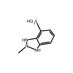 CN1Nc2cccc(S(=O)(=O)O)c2N1